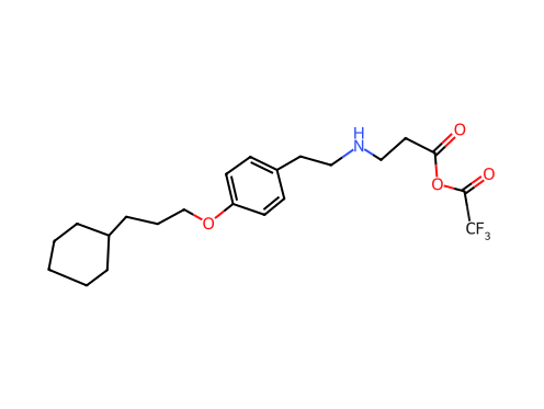 O=C(CCNCCc1ccc(OCCCC2CCCCC2)cc1)OC(=O)C(F)(F)F